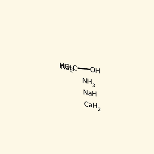 N.O=C(O)O.[CaH2].[NaH].[NaH]